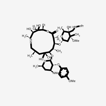 CCCNC[C@]1(O)[C@H](C)O[C@@H](O[C@H]2[C@H](C)[C@@H](O[C@@H]3O[C@H](C)C[C@H](NC)[C@H]3Oc3ccc(OC)cc3)[C@](C)(O)C[C@@H](C)CN[C@H](C)[C@@H](O)[C@](C)(O)[C@@H](CC)OC(=O)[C@@H]2C)C[C@@]1(C)OC